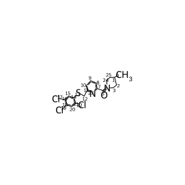 CC1CCN(C(=O)c2cccc(CSc3cc(Cl)c(Cl)cc3Cl)n2)CC1